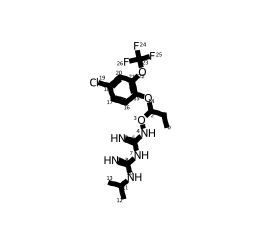 CCC(ONC(=N)NC(=N)NC(C)C)Oc1ccc(Cl)cc1OC(F)(F)F